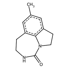 Cc1cc2c3c(c1)CCN3C(=O)NCC2